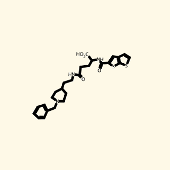 O=C(CCC(NC(=O)c1cc2ccsc2s1)C(=O)O)NCCC1CCN(Cc2ccccc2)CC1